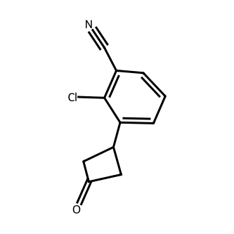 N#Cc1cccc(C2CC(=O)C2)c1Cl